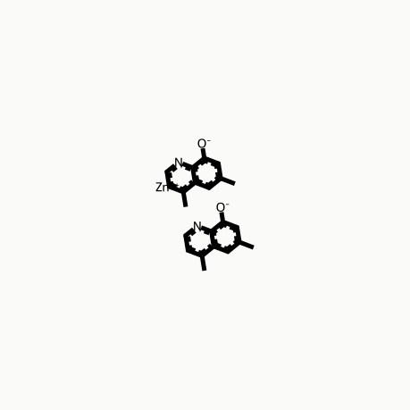 Cc1cc([O-])c2nccc(C)c2c1.Cc1cc([O-])c2nccc(C)c2c1.[Zn+2]